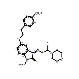 CCCCCN1C(=O)/C(=N\NC(=O)N2CCOCC2)c2cc(SCCc3ccc(C(=O)O)cc3)ccc21